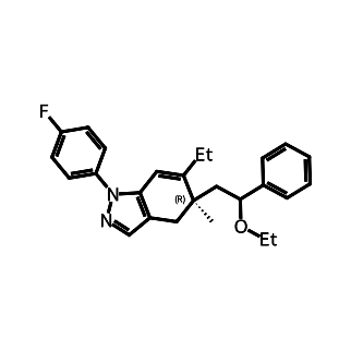 CCOC(C[C@@]1(C)Cc2cnn(-c3ccc(F)cc3)c2C=C1CC)c1ccccc1